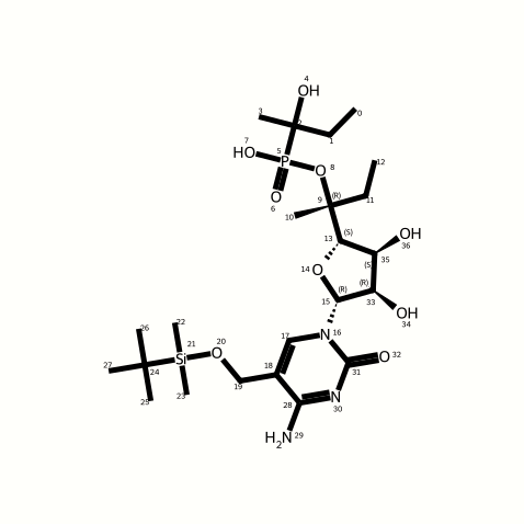 CCC(C)(O)P(=O)(O)O[C@](C)(CC)[C@H]1O[C@@H](n2cc(CO[Si](C)(C)C(C)(C)C)c(N)nc2=O)[C@H](O)[C@@H]1O